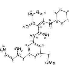 CSCc1cc(CN(N)/C=C\N)cc(NC(=N)c2c(NC3CCCCC3)cc[nH]c2=O)c1